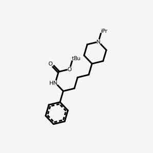 CC(C)N1CCC(CCCC(NC(=O)OC(C)(C)C)c2ccccc2)CC1